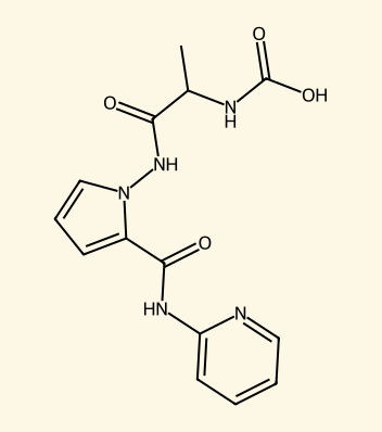 CC(NC(=O)O)C(=O)Nn1cccc1C(=O)Nc1ccccn1